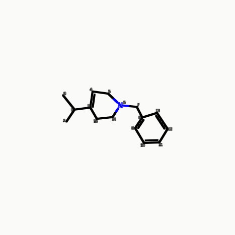 CC(C)C1=CCN(Cc2ccccc2)CC1